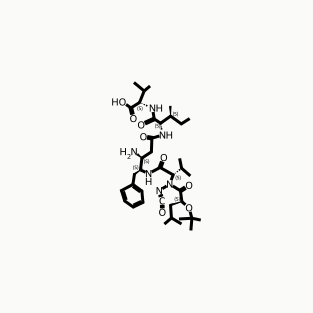 CC[C@H](C)[C@H](NC(=O)C[C@H](N)[C@H](Cc1ccccc1)NC(=O)[C@H](C(C)C)N(N=C=O)C(=O)[C@H](CC(C)C)OC(C)(C)C)C(=O)N[C@H](C(=O)O)C(C)C